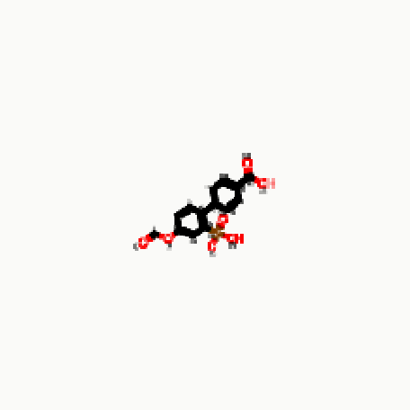 O=COc1ccc(-c2ccc(C(=O)O)cc2)c(S(=O)(=O)O)c1